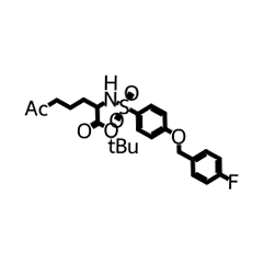 CC(=O)CCCC(NS(=O)(=O)c1ccc(OCc2ccc(F)cc2)cc1)C(=O)OC(C)(C)C